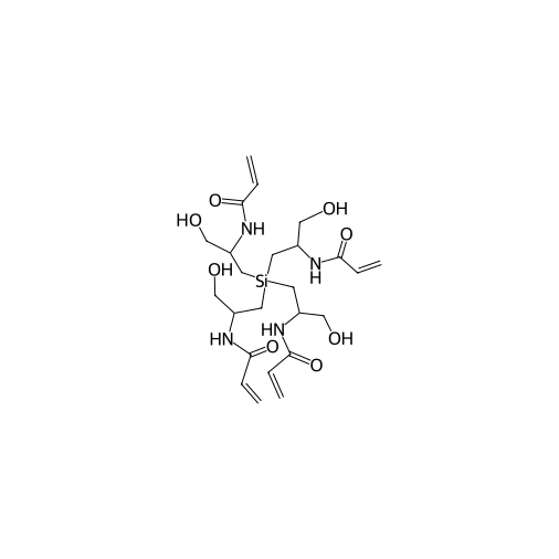 C=CC(=O)NC(CO)C[Si](CC(CO)NC(=O)C=C)(CC(CO)NC(=O)C=C)CC(CO)NC(=O)C=C